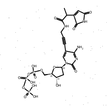 CC(C(=O)NCC#Cc1cn([C@H]2C[C@H](O)[C@@H](COP(=O)(O)OP(=O)(O)OP(=O)(O)O)O2)c(=O)nc1N)C1=CC(=O)NC1=O